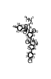 CCN(C)CCCN(c1ccc(-n2cnc3cc(-c4ccc(Cl)cc4)sc3c2=O)cc1OC)S(=O)(=O)c1ccc(C)cc1